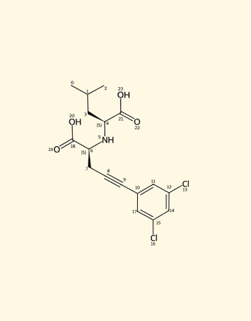 CC(C)C[C@H](N[C@@H](CC#Cc1cc(Cl)cc(Cl)c1)C(=O)O)C(=O)O